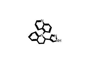 c1ccc2c(c1)CCC(c1cn[nH]c1)N2c1cccc2ncccc12